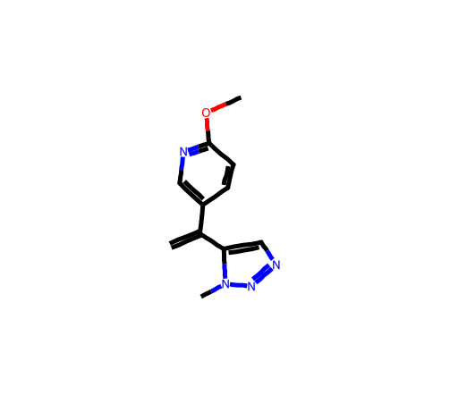 C=C(c1ccc(OC)nc1)c1cnnn1C